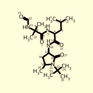 CC(C)CC(NC(=O)C(C)(C)NC=O)C(=O)NC1CC(C)N(C(C)(C)C)C1=O